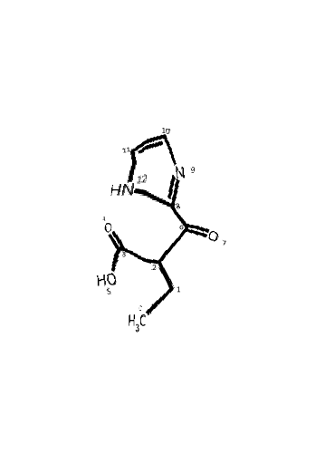 CCC(C(=O)O)C(=O)c1ncc[nH]1